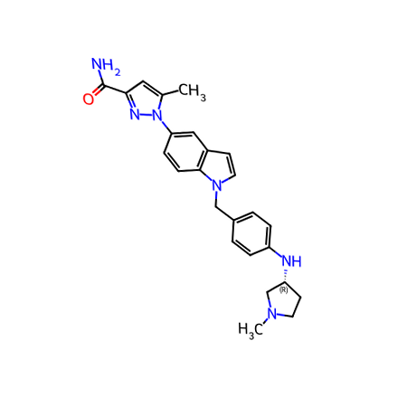 Cc1cc(C(N)=O)nn1-c1ccc2c(ccn2Cc2ccc(N[C@@H]3CCN(C)C3)cc2)c1